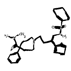 CN(C)C(=O)C1(c2ccccc2)CCN(CCC(CN(C)S(=O)(=O)c2ccccc2)c2ccccc2)CC1